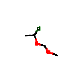 COCOC(C)Cl